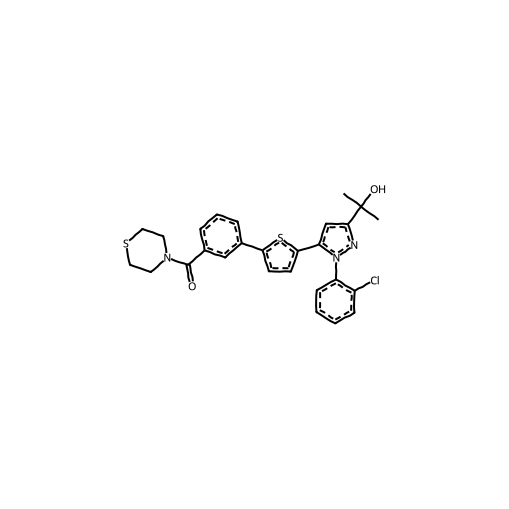 CC(C)(O)c1cc(-c2ccc(-c3cccc(C(=O)N4CCSCC4)c3)s2)n(-c2ccccc2Cl)n1